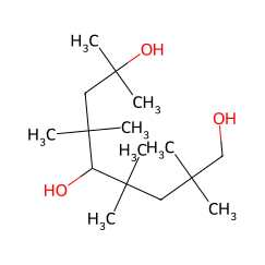 CC(C)(O)CC(C)(C)C(O)C(C)(C)CC(C)(C)CO